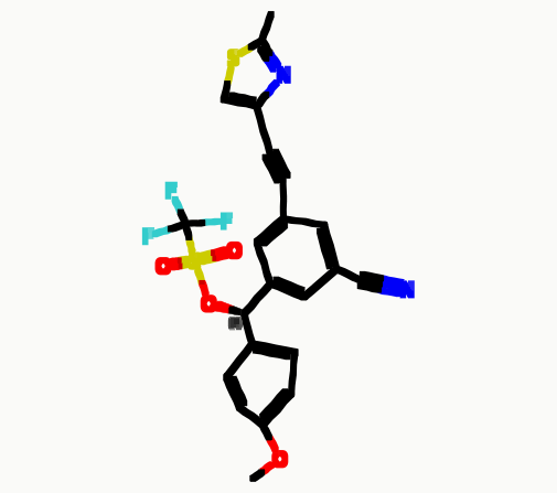 COc1ccc([C@@H](OS(=O)(=O)C(F)(F)F)c2cc(C#N)cc(C#Cc3csc(C)n3)c2)cc1